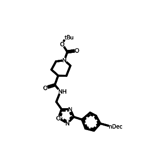 CCCCCCCCCCc1ccc(-c2noc(CNC(=O)C3CCN(C(=O)OC(C)(C)C)CC3)n2)cc1